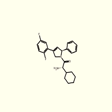 N[C@H](C(=O)N1CC(c2cc(F)ccc2F)=C[C@H]1c1ccccc1)C1CCCCC1